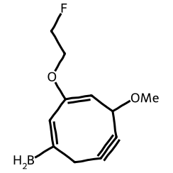 B/C1=C/C(OCCF)=C\C(OC)C#CC1